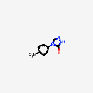 O=c1[nH]ncn1-c1ccc([N+](=O)[O-])cc1